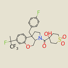 CC(F)(c1ccc2c(c1)OCC1N(C(=O)C3(O)CCS(=O)(=O)CC3)CCC21Cc1ccc(F)cc1)C(F)(F)F